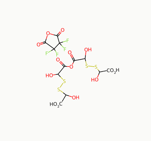 O=C(O)C(O)SSC(O)C(=O)OC(=O)C(O)SSC(O)C(=O)O.O=C1OC(=O)C(F)(F)C1(F)F